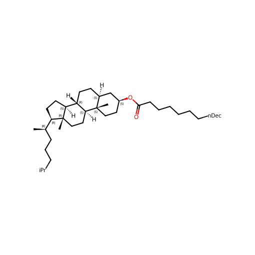 CCCCCCCCCCCCCCCCC(=O)O[C@H]1CC[C@@]2(C)[C@@H](CC[C@@H]3[C@@H]2CC[C@]2(C)[C@@H]([C@H](C)CCCC(C)C)CC[C@@H]32)C1